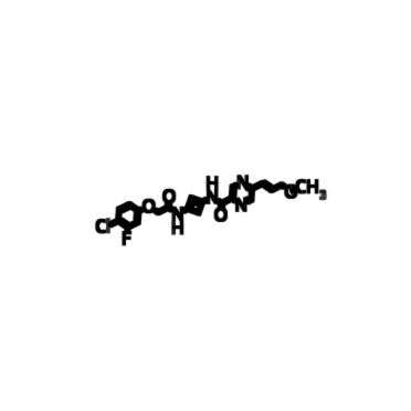 COC/C=C/c1cnc(C(=O)NC23CC(NC(=O)COc4ccc(Cl)c(F)c4)(C2)C3)cn1